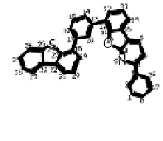 c1ccc(-c2ccc3c(n2)oc2c(-c4cccc(-c5cccc6c5sc5ccccc56)c4)cccc23)cc1